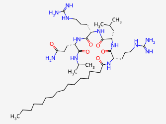 CCCCCCCCCCCCCCCC(=O)N[C@@H](CCCNC(=N)N)C(=O)N[C@@H](CC(C)C)C(=O)N[C@@H](CCCNC(=N)N)C(=O)N[C@@H](CCC(N)=O)C(=O)NC(C)C